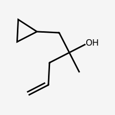 C=CCC(C)(O)CC1CC1